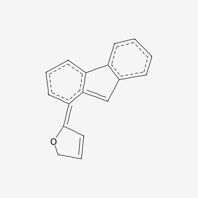 C1=CC(=c2cccc3c2=Cc2ccccc2-3)OC1